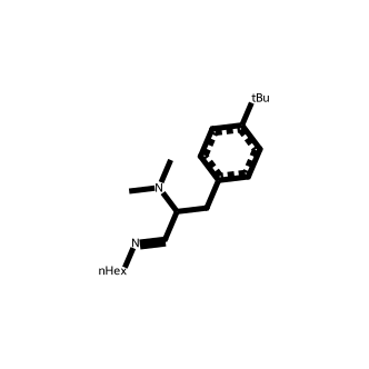 CCCCCCN=CC(Cc1ccc(C(C)(C)C)cc1)N(C)C